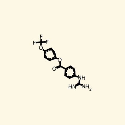 N=C(N)Nc1ccc(C(=O)Oc2ccc(OC(F)(F)F)cc2)cc1